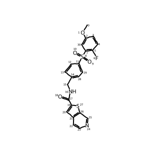 COc1ccc(F)c(S(=O)(=O)c2ccc(CNC(=O)c3cc4ccncc4s3)cc2)c1